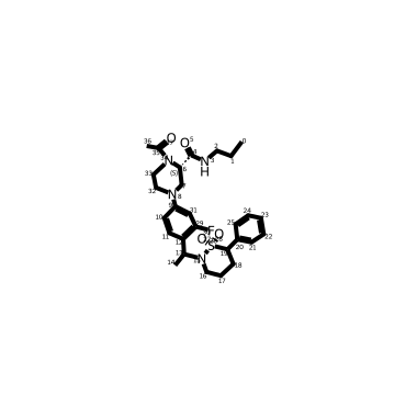 CCCNC(=O)[C@@H]1CN(c2ccc(C(C)N3CCCC(c4ccccc4)S3(=O)=O)c(F)c2)CCN1C(C)=O